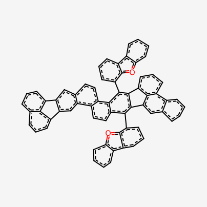 c1cc2c3c(cccc3c1)-c1cc3c(ccc4c3ccc3c(-c5cccc6c5oc5ccccc56)c5c(c(-c6cccc7c6oc6ccccc67)c34)-c3cccc4c3c-5cc3ccccc34)cc1-2